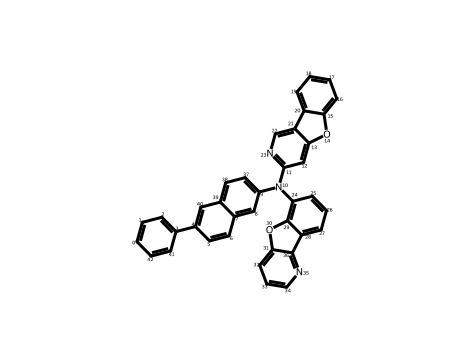 c1ccc(-c2ccc3cc(N(c4cc5oc6ccccc6c5cn4)c4cccc5c4oc4cccnc45)ccc3c2)cc1